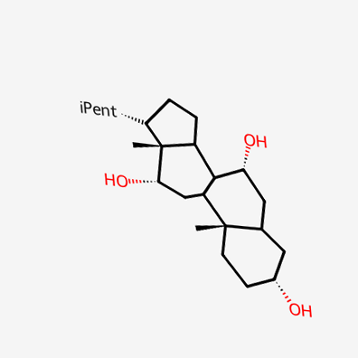 CCC[C@@H](C)C1CCC2C3C(C[C@H](O)[C@@]21C)[C@@]1(C)CC[C@@H](O)CC1C[C@H]3O